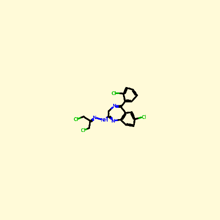 ClCC(CCl)=NNC1=Nc2ccc(Cl)cc2C(c2ccccc2Cl)=NC1